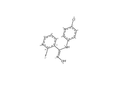 O/N=C(\Nc1ccc(Cl)nc1)c1cccnc1F